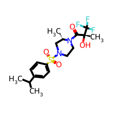 CC(C)c1ccc(S(=O)(=O)N2CCN(C(=O)[C@@](C)(O)C(F)(F)F)[C@@H](C)C2)cc1